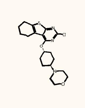 Clc1nc(O[C@H]2CC[C@H](N3CCOCC3)CC2)c2c3c(sc2n1)CCCC3